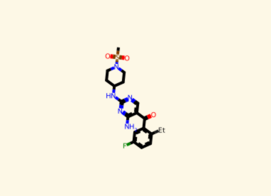 CCc1ccc(F)cc1C(=O)c1cnc(NC2CCN(S(C)(=O)=O)CC2)nc1N